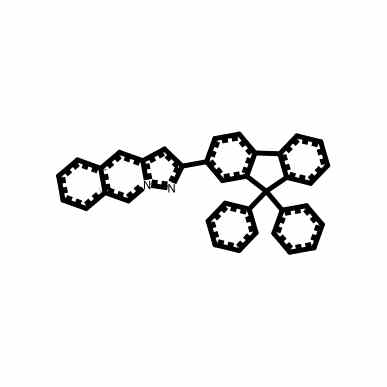 c1ccc(C2(c3ccccc3)c3ccccc3-c3ccc(-c4cc5cc6ccccc6cn5n4)cc32)cc1